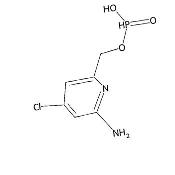 Nc1cc(Cl)cc(CO[PH](=O)O)n1